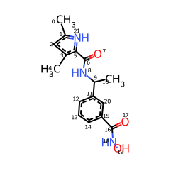 Cc1cc(C)c(C(=O)NC(C)c2cccc(C(=O)NO)c2)[nH]1